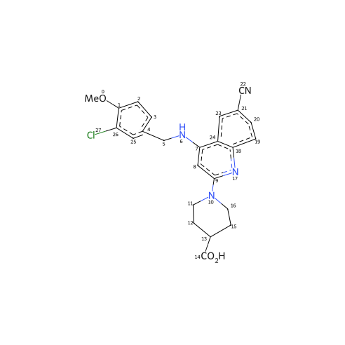 COc1ccc(CNc2cc(N3CCC(C(=O)O)CC3)nc3ccc(C#N)cc23)cc1Cl